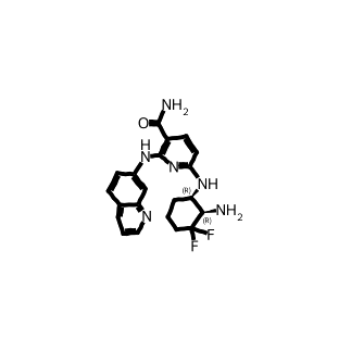 NC(=O)c1ccc(N[C@@H]2CCCC(F)(F)[C@@H]2N)nc1Nc1ccc2cccnc2c1